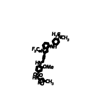 COc1cc(S(=O)(=O)Nc2cc(C)on2)ccc1NCC#Cc1cc2c(N[C@H]3CC[C@H](N(C)C)CC3)cccc2n1CC(F)(F)F